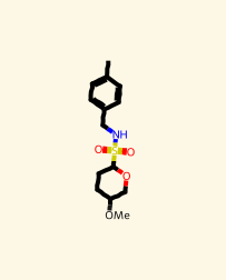 COC1CCC(S(=O)(=O)NCc2ccc(C)cc2)OC1